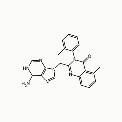 Cc1ccccc1-n1c(Cn2cnc3c2N=CNC3N)nc2cccc(C)c2c1=O